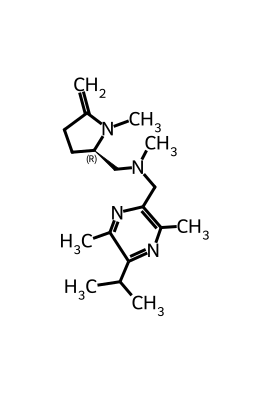 C=C1CC[C@H](CN(C)Cc2nc(C)c(C(C)C)nc2C)N1C